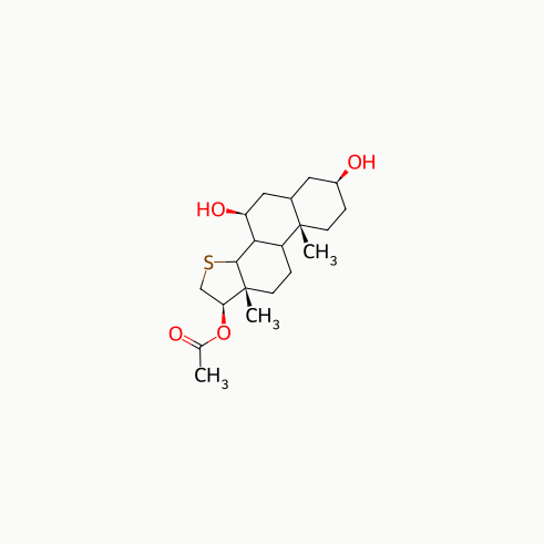 CC(=O)O[C@H]1CSC2C3C(CC[C@@]21C)[C@@]1(C)CC[C@H](O)CC1C[C@@H]3O